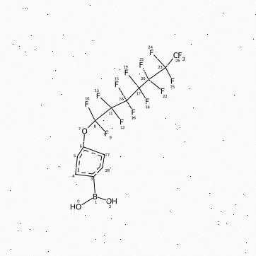 OB(O)c1ccc(OC(F)(F)C(F)(F)C(F)(F)C(F)(F)C(F)(F)C(F)(F)C(F)(F)F)cc1